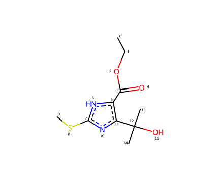 CCOC(=O)c1[nH]c(SC)nc1C(C)(C)O